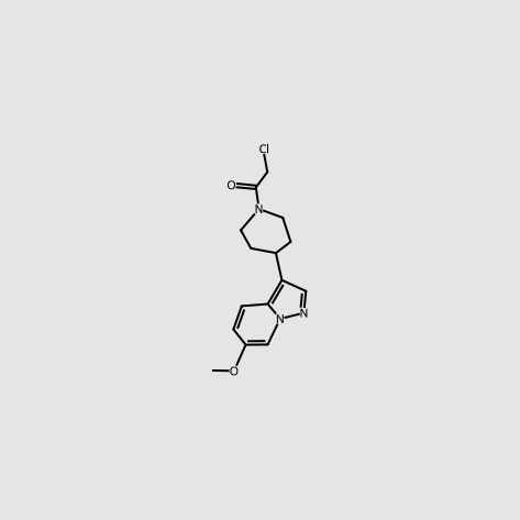 COc1ccc2c(C3CCN(C(=O)CCl)CC3)cnn2c1